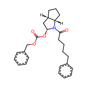 O=C(OCc1ccccc1)O[C@H]1C[C@@H]2CCC[C@@H]2N1C(=O)CCCCc1ccccc1